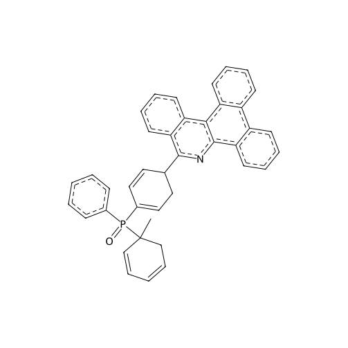 CC1(P(=O)(C2=CCC(c3nc4c5ccccc5c5ccccc5c4c4ccccc34)C=C2)c2ccccc2)C=CC=CC1